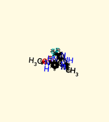 CCONC(=O)c1ccccc1Nc1cc(Nc2cc(C)nn2C)ncc1C(F)(F)F